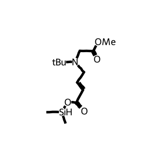 COC(=O)CN(CC=CC(=O)O[SiH](C)C)C(C)(C)C